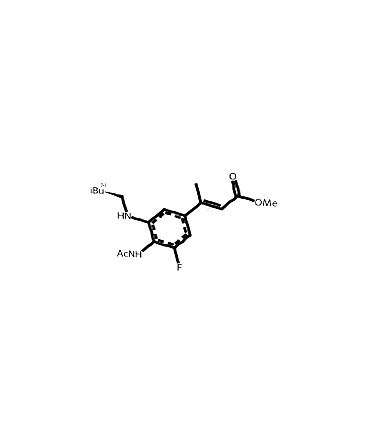 CC[C@H](C)CNc1cc(/C(C)=C/C(=O)OC)cc(F)c1NC(C)=O